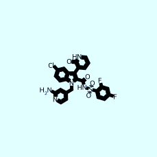 Nc1cc(Cn2c(C(=O)NS(=O)(=O)c3ccc(F)cc3F)c(-c3ccc[nH]c3=O)c3cc(Cl)ccc32)ccn1